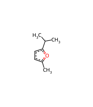 C[C](C)c1ccc(C)o1